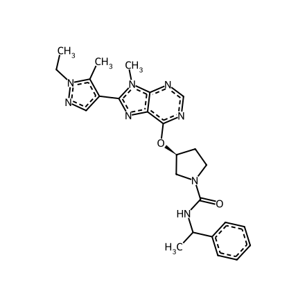 CCn1ncc(-c2nc3c(O[C@H]4CCN(C(=O)NC(C)c5ccccc5)C4)ncnc3n2C)c1C